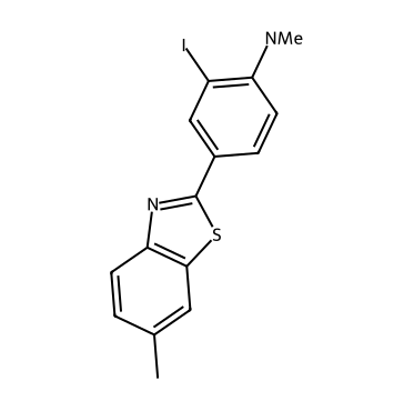 CNc1ccc(-c2nc3ccc(C)cc3s2)cc1I